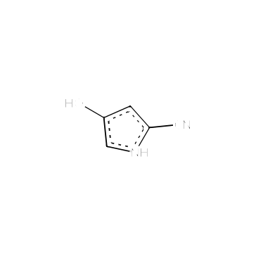 N#Cc1cc(O)c[nH]1